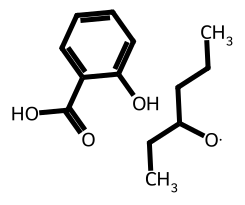 CCCC([O])CC.O=C(O)c1ccccc1O